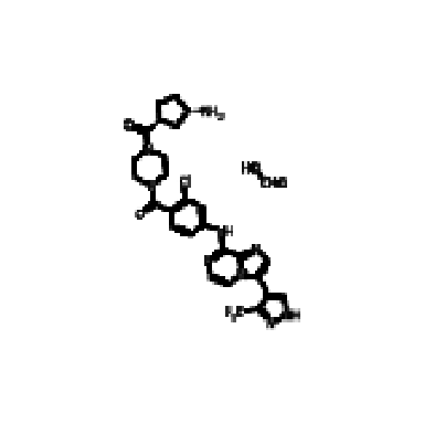 N[C@H]1CC[C@H](C(=O)N2CCN(C(=O)c3ccc(Nc4nccn5c(-c6c[nH]nc6C(F)(F)F)cnc45)cc3Cl)CC2)C1.O=CO